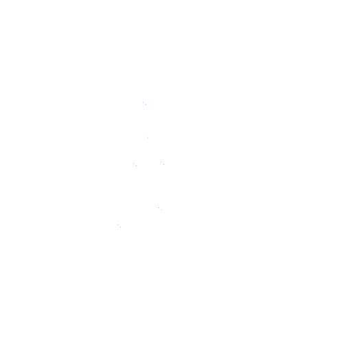 CC#CCn1c(N2CCNCC2)nc2cc(C(N)=O)n(C)c(=O)c21